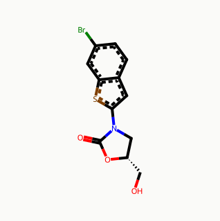 O=C1O[C@@H](CO)CN1c1cc2ccc(Br)cc2s1